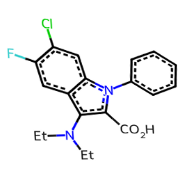 CCN(CC)c1c(C(=O)O)n(-c2ccccc2)c2cc(Cl)c(F)cc12